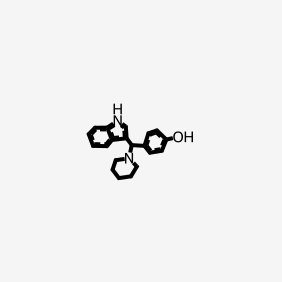 Oc1ccc(C(c2c[nH]c3ccccc23)N2CCCCC2)cc1